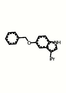 CC(C)c1c[nH]c2ccc(OCc3ccccc3)cc12